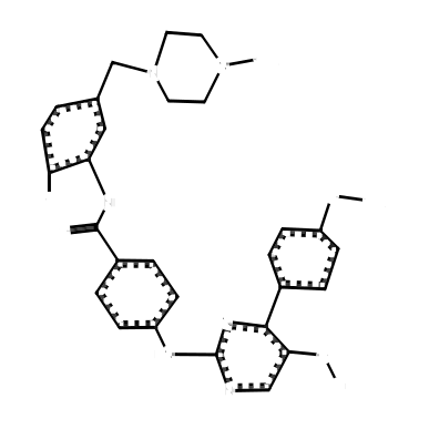 CCOc1cnc(Nc2ccc(C(=O)Nc3cc(CN4CCN(C)CC4)ccc3C)cc2)nc1-c1ccc(OC(F)(F)F)cc1